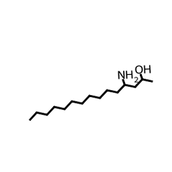 CCCCCCCCCCCC(N)CC(C)O